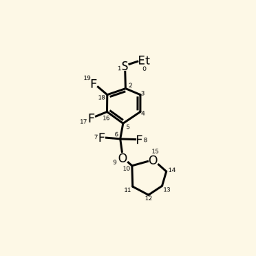 CCSc1ccc(C(F)(F)OC2CCCCO2)c(F)c1F